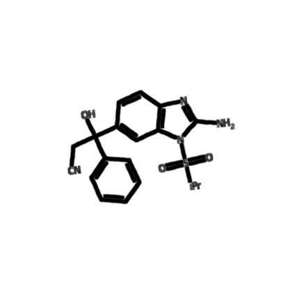 CC(C)S(=O)(=O)n1c(N)nc2ccc(C(O)(CC#N)c3ccccc3)cc21